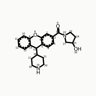 O=C(c1ccc2c(c1)Oc1ccccc1C2C1CCNCC1)N1CCC(O)C1